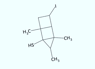 CC1C2(C)C3C(I)CC3(C)C12S